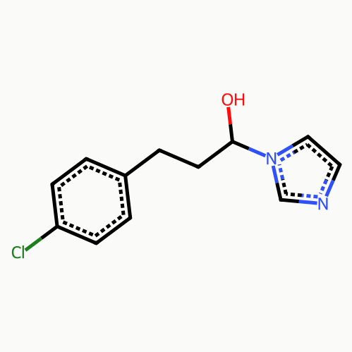 OC(CCc1ccc(Cl)cc1)n1ccnc1